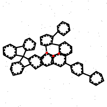 c1ccc(-c2ccc(-c3ccc(N(c4ccc5c(c4)C4(c6ccccc6-c6ccccc64)c4ccccc4-5)c4cccc(-c5ccccc5)c4-c4ccccc4-c4ccccc4)cc3)cc2)cc1